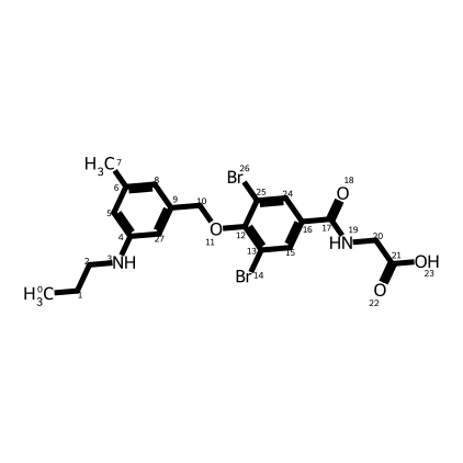 CCCNc1cc(C)cc(COc2c(Br)cc(C(=O)NCC(=O)O)cc2Br)c1